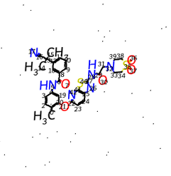 Cc1ccc(NC(=O)c2cccc(C(C)(C)C#N)c2)cc1Oc1ccc2nc(NC(=O)CN3CCS(=O)(=O)CC3)sc2n1